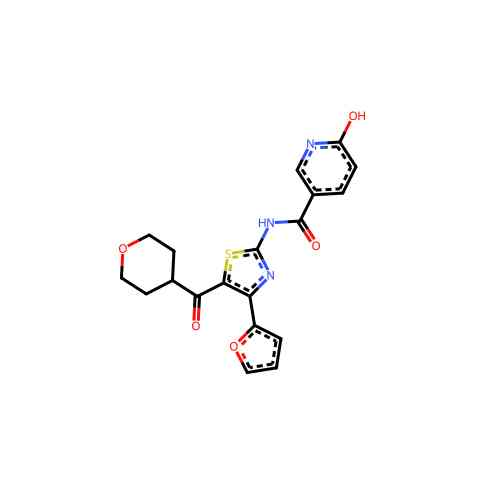 O=C(Nc1nc(-c2ccco2)c(C(=O)C2CCOCC2)s1)c1ccc(O)nc1